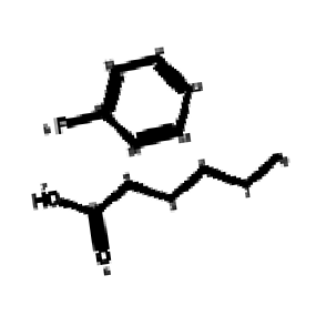 CCCCCC(=O)O.Fc1ccccc1